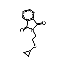 O=C1c2ccccc2C(=O)N1CCSC1CC1